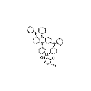 CCc1ccccc1Oc1ccc(N(c2ccccc2)c2ccc3c(c2)N(c2ccc(C)cc2)c2cccc4c2B3c2ccccc2N4c2ccccc2)cc1CC